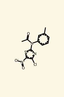 CC(=O)N(c1cccc(C)c1)c1nc(Cl)c([N+](=O)[O-])s1